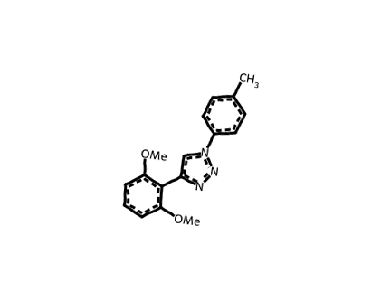 COc1cccc(OC)c1-c1cn(-c2ccc(C)cc2)nn1